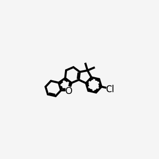 CC1(C)C2=C(c3ccc(Cl)cc31)c1oc3c(c1CC2)CCC=C3